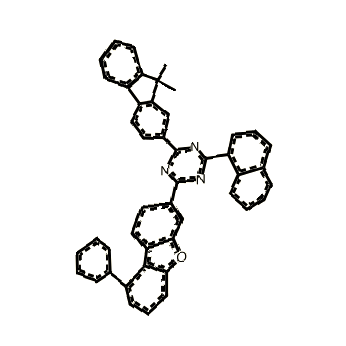 CC1(C)c2ccccc2-c2ccc(-c3nc(-c4ccc5c(c4)oc4cccc(-c6ccccc6)c45)nc(-c4cccc5ccccc45)n3)cc21